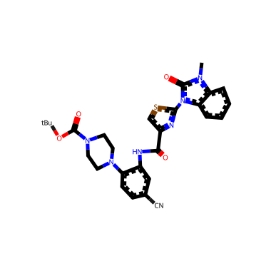 Cn1c(=O)n(-c2nc(C(=O)Nc3cc(C#N)ccc3N3CCN(C(=O)OC(C)(C)C)CC3)cs2)c2ccccc21